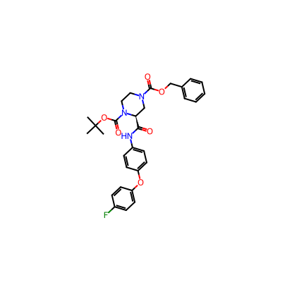 CC(C)(C)OC(=O)N1CCN(C(=O)OCc2ccccc2)C[C@H]1C(=O)Nc1ccc(Oc2ccc(F)cc2)cc1